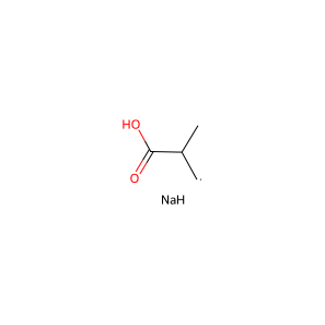 [CH2]C(C)C(=O)O.[NaH]